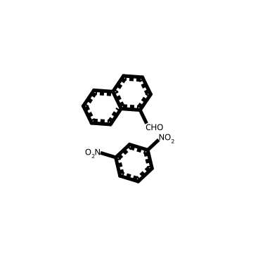 O=Cc1cccc2ccccc12.O=[N+]([O-])c1cccc([N+](=O)[O-])c1